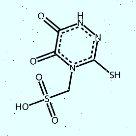 O=c1[nH]nc(S)n(CS(=O)(=O)O)c1=O